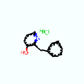 Cl.Oc1cccnc1Cc1ccccc1